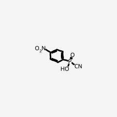 N#CP(=O)(O)c1ccc([N+](=O)[O-])cc1